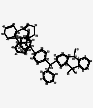 C[C@H]1c2ccccc2C(C)(C)c2cc(N(c3ccccc3)c3ccc(-c4ccc5c(c4)C4=C6CCC=C4C4=C(c7ccccc76)C5CC=C4)cc3)ccc21